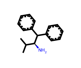 CC(C)[C@H](N)C(c1ccccc1)c1ccccc1